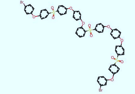 O=S(=O)(c1ccc(Oc2ccc(Br)cc2)cc1)c1ccc(Oc2ccc(Oc3ccccc3S(=O)(=O)c3ccc(Oc4ccc(Oc5ccc(S(=O)(=O)c6ccc(Oc7cccc(Br)c7)cc6)cc5)cc4)cc3)cc2)cc1